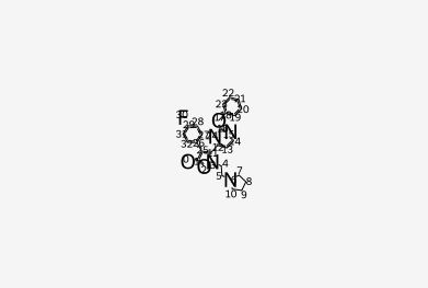 O=c1on(CCN2CCCC2)c(-c2ccnc(Oc3ccccc3)n2)c1-c1ccc(F)cc1